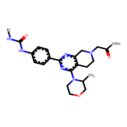 CCNC(=O)Nc1ccc(-c2nc3c(c(N4CCOCC4C)n2)CCN(CC(=O)OC)C3)cc1